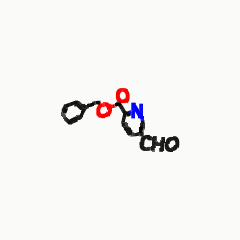 O=Cc1ccc(C(=O)OCc2ccccc2)nc1